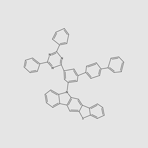 c1ccc(-c2ccc(-c3cc(-c4nc(-c5ccccc5)nc(-c5ccccc5)n4)cc(-n4c5ccccc5c5cc6sc7ccccc7c6cc54)c3)cc2)cc1